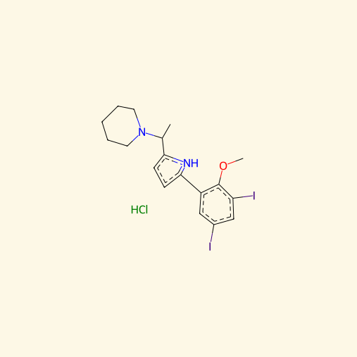 COc1c(I)cc(I)cc1-c1ccc(C(C)N2CCCCC2)[nH]1.Cl